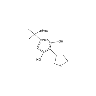 CCCCCCC(C)(C)c1cc(O)c(C2CCSC2)c(O)c1